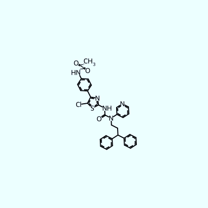 CS(=O)(=O)Nc1ccc(-c2nc(NC(=O)N(CCC(c3ccccc3)c3ccccc3)c3cccnc3)sc2Cl)cc1